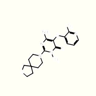 Cc1ncccc1Sc1c(N)nc(N2CCC3(CCOC3)CC2)n(C)c1=O